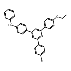 CCOc1ccc(-c2cc(-c3ccc(Nc4ccccc4)cc3)cc(-c3ccc(Br)cc3)n2)cc1